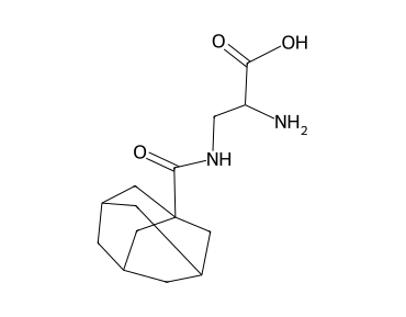 NC(CNC(=O)C12CC3CC(CC(C3)C1)C2)C(=O)O